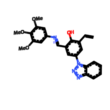 C=Cc1cc(-n2nnc3ccccc32)cc(/C=N/c2cc(OC)c(OC)c(OC)c2)c1O